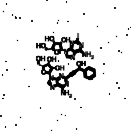 Nc1nc(C#CC(O)c2ccccc2)nc2c1ncn2[C@@H]1O[C@H](CO)[C@@H](O)[C@H]1O.Nc1nc(I)nc2c1ncn2[C@@H]1O[C@H](CO)[C@@H](O)[C@H]1O